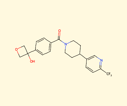 O=C(c1ccc(C2(O)COC2)cc1)N1CCC(c2ccc(C(F)(F)F)nc2)CC1